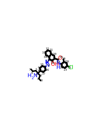 CCCC(N)(CCC)c1ccc(N=Nc2c(O)c(C(=O)Nc3ccc(Cl)cc3C)cc3ccccc23)cc1